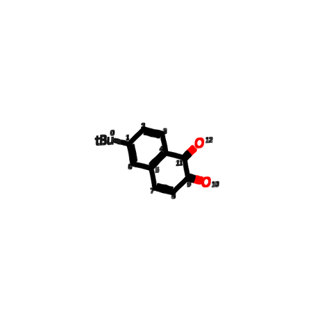 CC(C)(C)c1ccc2c(c1)C=CC(=O)C2=O